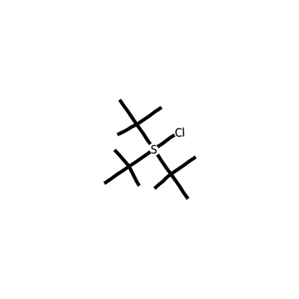 CC(C)(C)S(Cl)(C(C)(C)C)C(C)(C)C